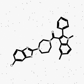 Cc1ccc2c(c1)c(C(=O)N1CCCN(c3nc4ccc(Cl)cc4s3)CC1)c(-c1ccccc1)n2C